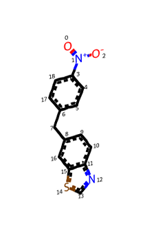 O=[N+]([O-])c1ccc(Cc2ccc3ncsc3c2)cc1